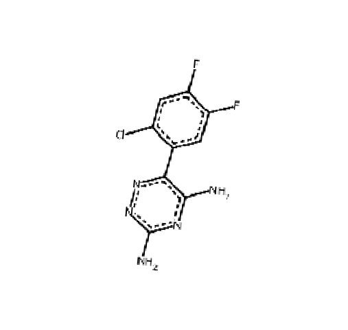 Nc1nnc(-c2cc(F)c(F)cc2Cl)c(N)n1